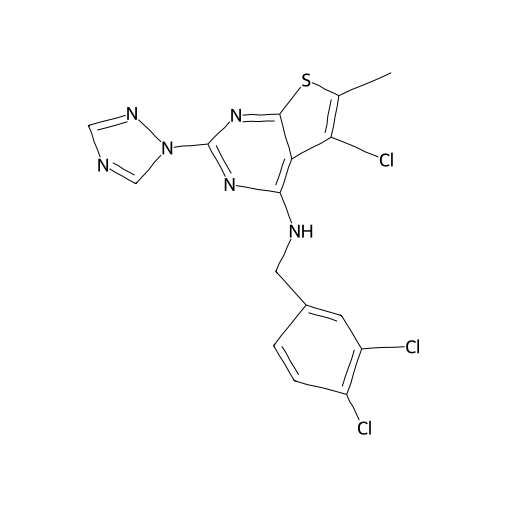 Cc1sc2nc(-n3cncn3)nc(NCc3ccc(Cl)c(Cl)c3)c2c1Cl